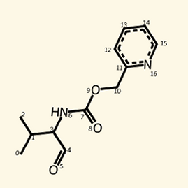 CC(C)C([C]=O)NC(=O)OCc1ccccn1